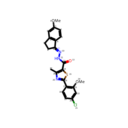 COc1ccc2c(c1)CC/C2=N\NC(=O)c1sc(-c2ccc(Cl)cc2OC)nc1C